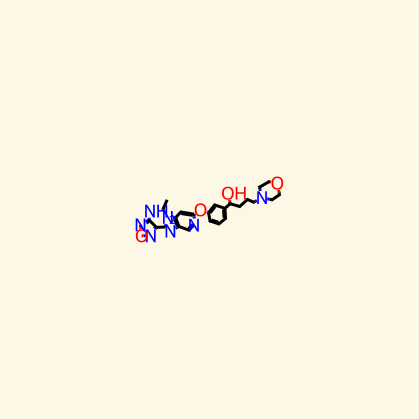 CCn1c(-c2nonc2N)nc2cnc(Oc3cccc(C(O)CCCN4CCOCC4)c3)cc21